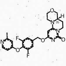 Cc1cc(Oc2c(F)cc(COc3cc4n(c(=O)n3)CC[C@H]3COCCN43)cc2F)ccn1